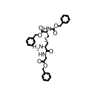 N[C@H](CSC[C@H](NC(=O)OCc1ccccc1)C(=O)OCc1ccccc1)C(=O)NCC(=O)OCc1ccccc1